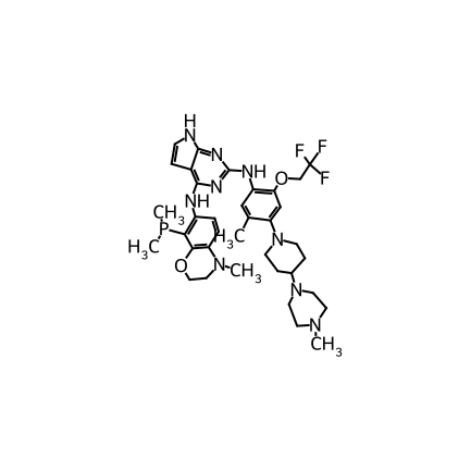 Cc1cc(Nc2nc(Nc3ccc4c(c3P(C)C)OCCN4C)c3cc[nH]c3n2)c(OCC(F)(F)F)cc1N1CCC(N2CCN(C)CC2)CC1